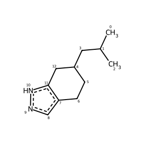 CC(C)CC1CCc2cn[nH]c2C1